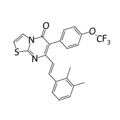 Cc1cccc(/C=C/c2nc3sccn3c(=O)c2-c2ccc(OC(F)(F)F)cc2)c1C